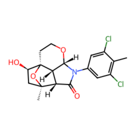 Cc1c(Cl)cc(N2C(=O)[C@H]3[C@H]4[C@@H]2OCC[C@@]42O[C@]3(C)C[C@H]2O)cc1Cl